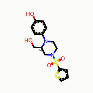 O=S(=O)(c1cccs1)N1CCN(c2ccc(O)cc2)[C@H](CO)C1